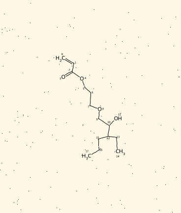 C=CC(=O)OCCCOCC(O)C(CC)CCC